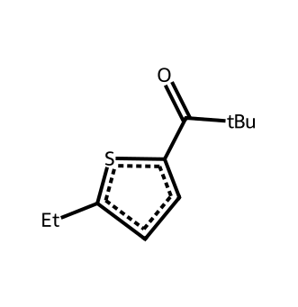 CCc1ccc(C(=O)C(C)(C)C)s1